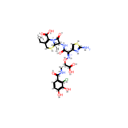 CCC1=C(C(=O)O)N2C(=O)[C@@H](NC(=O)/C(=N\O[C@@H](CNC(=O)c3ccc(O)c(O)c3Cl)C(=O)O)c3csc(N)n3)[C@H]2SC1